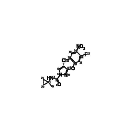 CC1(NC(=O)n2ccc(Oc3cc(F)c([N+](=O)[O-])cc3Cl)n2)CC1